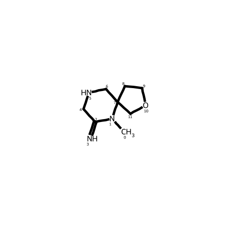 CN1C(=N)CNCC12CCOC2